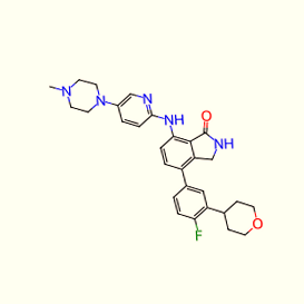 CN1CCN(c2ccc(Nc3ccc(-c4ccc(F)c(C5CCOCC5)c4)c4c3C(=O)NC4)nc2)CC1